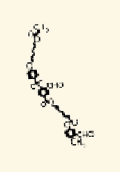 C=CC(=O)OCCCCCCOc1ccc(C(=O)Oc2ccc(C(=O)OCCCCCCC(=O)Oc3ccc(C)c(C=O)c3)cc2C=O)cc1